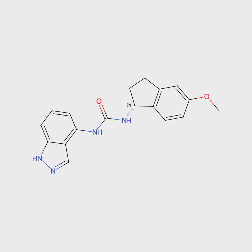 COc1ccc2c(c1)CC[C@H]2NC(=O)Nc1cccc2[nH]ncc12